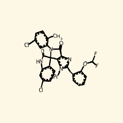 Cc1ccc(Cl)cc1N1C(=O)c2nc(-c3ccccc3OC(F)F)n(C(C)C)c2C12C(=O)Nc1cc(Cl)ccc12